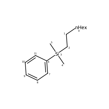 [CH2]CCCCCCC[Si](C)(C)c1ccccc1